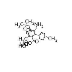 Cc1ccc(-c2c(CN)c(CC(C)(C)C)nc(C)c2C(=O)O)cc1.Cl.Cl